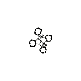 O=S1(=O)c2ccccc2S(=O)(=O)C12N(c1ccccc1)c1ccccc1N2c1ccccc1